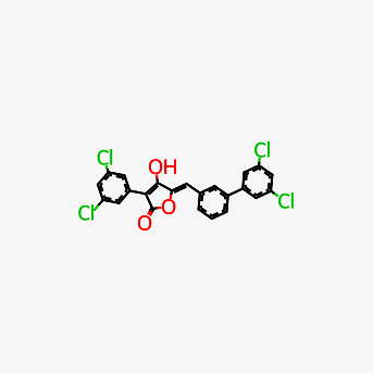 O=C1O/C(=C\c2cccc(-c3cc(Cl)cc(Cl)c3)c2)C(O)=C1c1cc(Cl)cc(Cl)c1